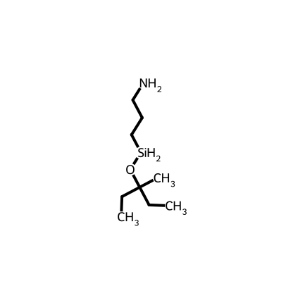 CCC(C)(CC)O[SiH2]CCCN